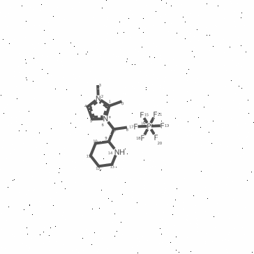 Cc1n(C)cc[n+]1C(C)C1CCCCN1.F[P-](F)(F)(F)(F)F